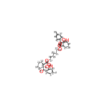 Cc1ccc(C(=O)C2(O)CCCCC2C(=O)OCCCCCCOC(=O)[C@H]2CCCC[C@]2(O)C(=O)c2ccc(C)cc2)cc1